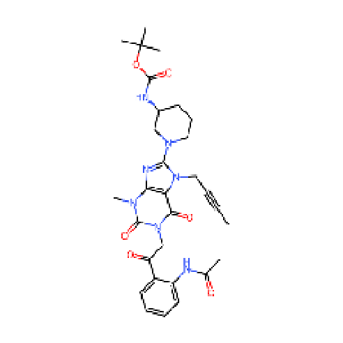 CC#CCn1c(N2CCC[C@H](NC(=O)OC(C)(C)C)C2)nc2c1c(=O)n(CC(=O)c1ccccc1NC(C)=O)c(=O)n2C